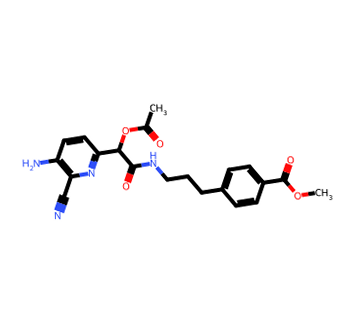 COC(=O)c1ccc(CCCNC(=O)C(OC(C)=O)c2ccc(N)c(C#N)n2)cc1